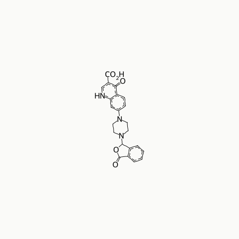 O=C1OC(N2CCN(c3ccc4c(=O)c(C(=O)O)c[nH]c4c3)CC2)c2ccccc21